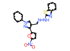 O=[N+]([O-])c1ccc(-c2nn(-c3ccccc3)cc2/C=N/Nc2nc3ccccc3s2)o1